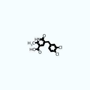 Cc1[nH]c(=O)c(Cc2ccc(Cl)c(Cl)c2)cc1C(=O)O